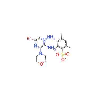 Cc1cc(C)c(S(=O)(=O)[O-])c(C)c1.Nc1c(N2CCOCC2)nc(Br)c[n+]1N